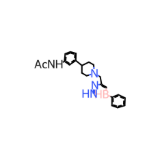 CC(=O)Nc1cccc(C2CCN(C/C(=C/Bc3ccccc3)N=N)CC2)c1